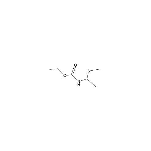 CCOC(=O)NC(C)SC